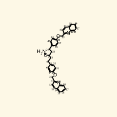 NOC(CCc1ccc(OCc2ccc3ccccc3n2)cc1)CCc1ccc(OCc2ccc3ccccc3n2)cc1